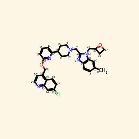 Cc1ccc2nc(CN3CCC(c4cccc(OCc5ccnc6cc(Cl)ccc56)n4)CC3)n(CC3CCO3)c2c1